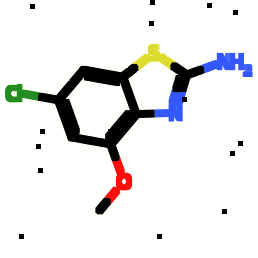 COc1cc(Cl)cc2sc(N)nc12